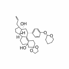 C=CC[C@]1(O)CC[C@H]2[C@@H]3CCC4(O)CC5(CCC4=C3[C@@H](c3ccc(OC4CCCCO4)cc3)C[C@@]21C)OCCO5